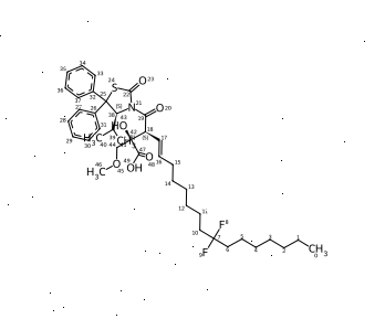 CCCCCCCC(F)(F)CCCCCCC=C[C@H](C(=O)N1C(=O)SC(c2ccccc2)(c2ccccc2)[C@@H]1C(C)C)[C@@](O)(COC)C(=O)O